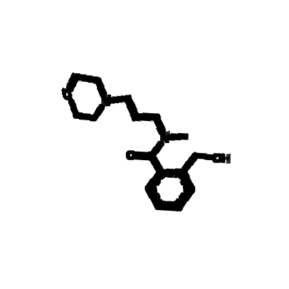 CN(CCCN1CCOCC1)C(=O)c1ccccc1CO